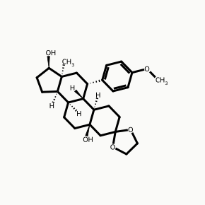 COc1ccc([C@H]2C[C@]3(C)[C@H](O)CC[C@@H]3[C@@H]3CC[C@@]4(O)CC5(CC[C@@H]4[C@H]32)OCCO5)cc1